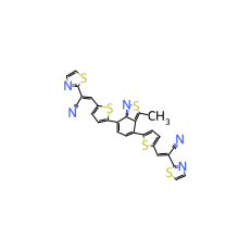 Cc1snc2c(-c3ccc(/C=C(\C#N)c4nccs4)s3)ccc(-c3ccc(/C=C(\C#N)c4nccs4)s3)c12